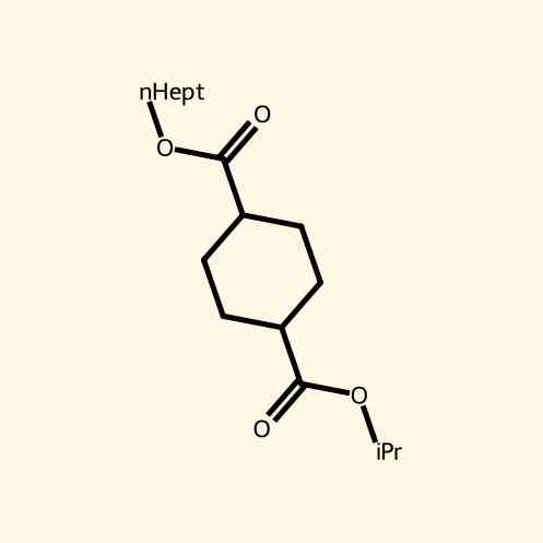 CCCCCCCOC(=O)C1CCC(C(=O)OC(C)C)CC1